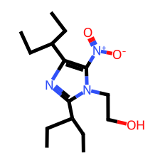 CCC(CC)c1nc(C(CC)CC)n(CCO)c1[N+](=O)[O-]